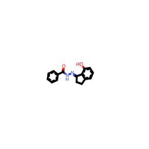 O=C(N/N=C1\CCc2cccc(O)c21)c1ccccc1